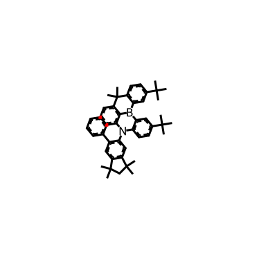 CC(C)(C)c1ccc2c(c1)B1c3cc(C(C)(C)C)ccc3C(C)(C)c3cccc(c31)N2c1cc2c(cc1-c1ccccc1)C(C)(C)CC2(C)C